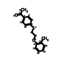 CC(=O)c1ccc(SCCOc2[c]cccc2C)cc1